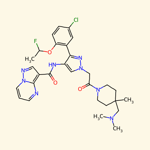 CC(F)Oc1ccc(Cl)cc1-c1nn(CC(=O)N2CCC(C)(CN(C)C)CC2)cc1NC(=O)c1cnn2cccnc12